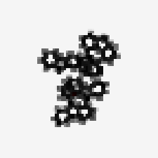 c1ccc(-c2cccc3sc4cccc(-c5nc(-c6ccc7c(c6)sc6ccccc67)nc(-c6cccc7c6c6ccccc6n7-c6cccc7c8ccccc8n(-c8ccccc8)c67)n5)c4c23)cc1